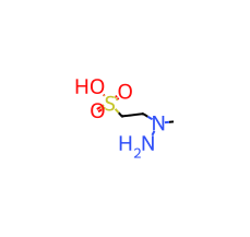 CN(N)CCS(=O)(=O)O